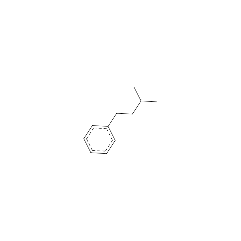 C[C](C)CCc1ccccc1